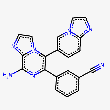 N#Cc1cccc(-c2nc(N)c3nccn3c2-c2ccc3nccn3c2)c1